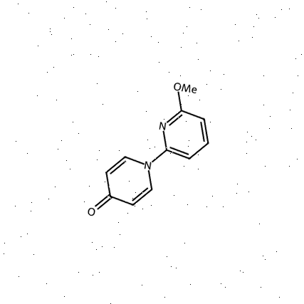 COc1cccc(-n2ccc(=O)cc2)n1